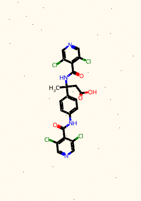 CC(CC(=O)O)(NC(=O)c1c(Cl)cncc1Cl)c1ccc(NC(=O)c2c(Cl)cncc2Cl)cc1